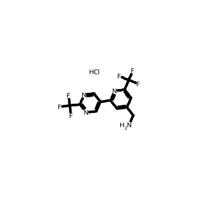 Cl.NCc1cc(-c2cnc(C(F)(F)F)nc2)nc(C(F)(F)F)c1